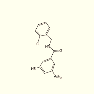 O=C(NCc1ccccc1Cl)c1cc(S)cc([AsH2])c1